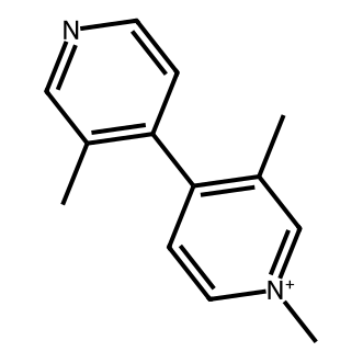 Cc1cnccc1-c1cc[n+](C)cc1C